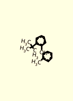 CC(C)(C)c1ccccc1O.Cc1ccccc1